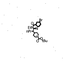 CCCC(c1nc2ccc(Br)cc2c(=O)n1CC)C1CCN(C(=O)OC(C)(C)C)CC1